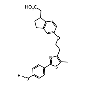 CCOc1ccc(-c2nc(CCOc3ccc4c(c3)CCC4CC(=O)O)c(C)s2)cc1